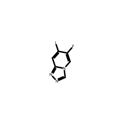 Fc1cn2cnnc2cc1I